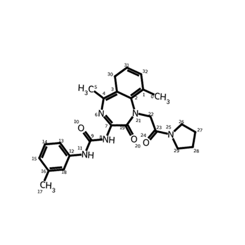 CC1=C2C(=C(C)N=C(NC(=O)Nc3cccc(C)c3)C(=O)N2CC(=O)N2CCCC2)CC=C1